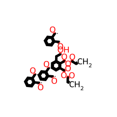 C=CC(=O)OC(=O)c1cccc(CCO)c1C(=O)OC(=O)C=C.O=[C]c1ccccc1[C]=O.O=[C]c1ccccc1[C]=O.O=[C]c1ccccc1[C]=O